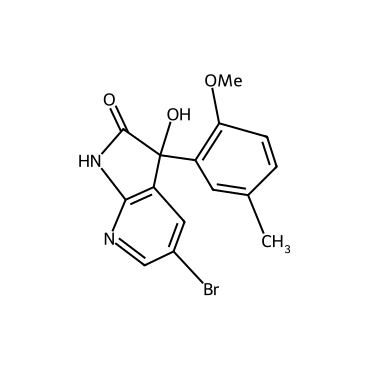 COc1ccc(C)cc1C1(O)C(=O)Nc2ncc(Br)cc21